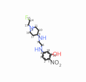 O=[N+]([O-])c1ccc(NCCNC2CCN(CCF)CC2)cc1O